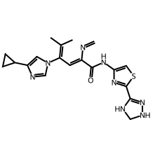 C=N/C(=C\C(=C(C)C)n1cnc(C2CC2)c1)C(=O)Nc1csc(C2=NNCN2)n1